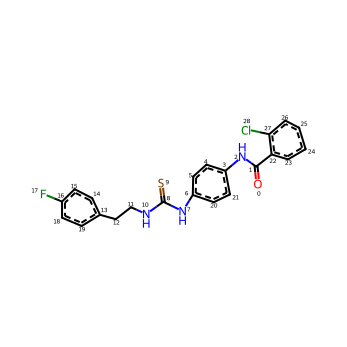 O=C(Nc1ccc(NC(=S)NCCc2ccc(F)cc2)cc1)c1ccccc1Cl